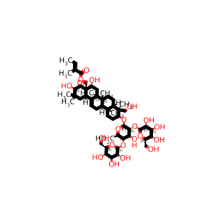 C/C=C(\C)C(=O)OC[C@@]12[C@H](O)C[C@]3(C)C(=CC[C@@H]4[C@@]5(C)CC[C@H](O[C@@H]6O[C@H](C(=O)O)[C@@H](O[C@@H]7O[C@H](CO)[C@@H](O)[C@H](O)[C@H]7O)[C@H](O)[C@H]6O[C@@H]6O[C@H](CO)[C@@H](O)[C@H](O)[C@H]6O)[C@](C)(CO)[C@@H]5CC[C@]43C)[C@@H]1CC(C)(C)[C@@H](O)[C@@H]2O